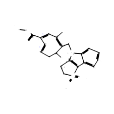 CC1C/C=C/C(C(=O)NO)=C\C(F)=C/1Cn1c2c(c3ccccc31)S(=O)(=O)CC2